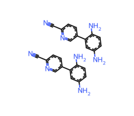 N#Cc1ccc(-c2cc(N)ccc2N)cn1.N#Cc1ccc(-c2cc(N)ccc2N)cn1